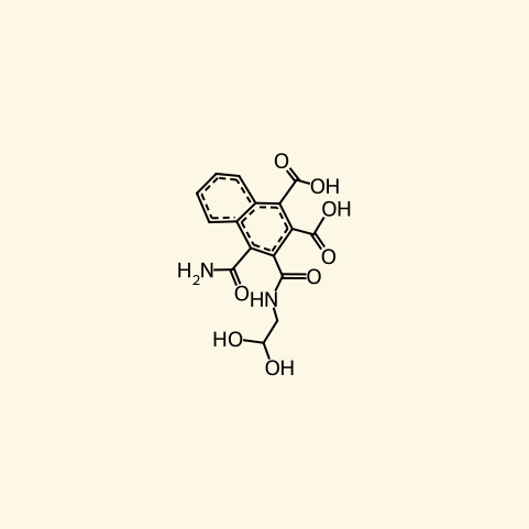 NC(=O)c1c(C(=O)NCC(O)O)c(C(=O)O)c(C(=O)O)c2ccccc12